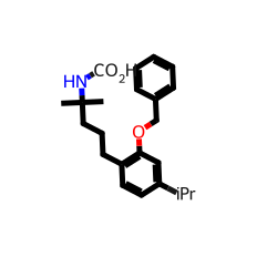 CC(C)c1ccc(CCCC(C)(C)NC(=O)O)c(OCc2ccccc2)c1